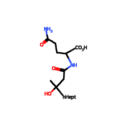 CCCCCCCC(C)(O)CC(=O)NC(CCC(N)=O)C(=O)O